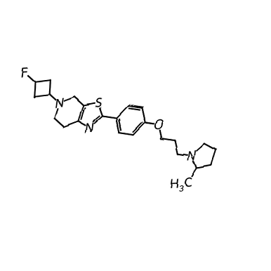 CC1CCCN1CCCOc1ccc(-c2nc3c(s2)CN(C2CC(F)C2)CC3)cc1